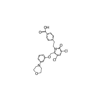 O=C(O)c1ccc(CCn2c(COc3cccc(N4CCOCC4)c3)c(Cl)cc(Cl)c2=O)cc1